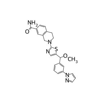 COC(c1cccc(-n2cccn2)c1)c1cnc(N2CCc3ccc(C(N)=O)cc3C2)s1